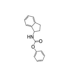 O=C(NC1CCc2ccccc21)Oc1ccccc1